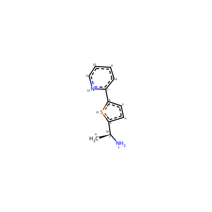 C[C@H](N)c1ccc(-c2ccccn2)s1